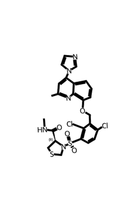 CNC(=O)[C@@H]1CSCN1S(=O)(=O)c1ccc(Cl)c(COc2cccc3c(-n4ccnc4)cc(C)nc23)c1Cl